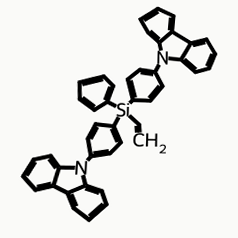 C=C[Si](c1ccccc1)(c1ccc(-n2c3ccccc3c3ccccc32)cc1)c1ccc(-n2c3ccccc3c3ccccc32)cc1